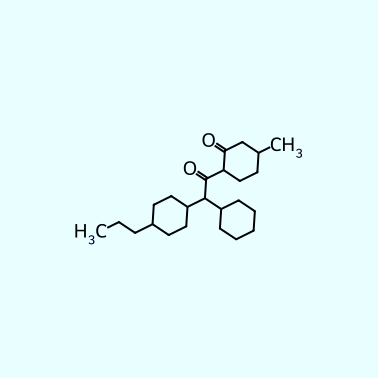 CCCC1CCC(C(C(=O)C2CCC(C)CC2=O)C2CCCCC2)CC1